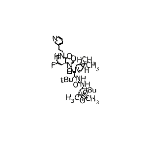 CN(C[C@@H](NC(=O)N[C@H](C(=O)N1C[C@H]2[C@@H]([C@H]1C(=O)N[C@@H](CC(F)F)C(=O)NCCc1cccnc1)C2(C)C)C(C)(C)C)C(C)(C)C)S(C)(=O)=O